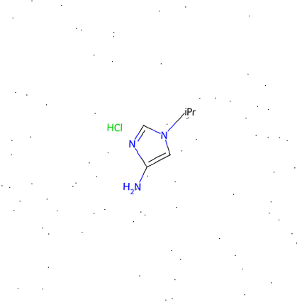 CC(C)n1cnc(N)c1.Cl